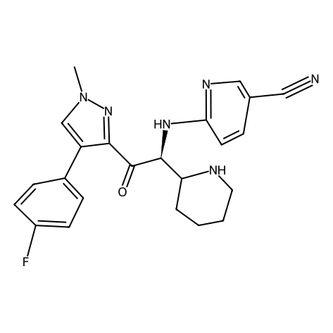 Cn1cc(-c2ccc(F)cc2)c(C(=O)[C@@H](Nc2ccc(C#N)cn2)C2CCCCN2)n1